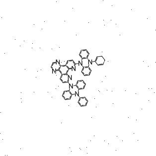 C1=CC(N2c3ccccc3N(c3ccc4c5nccnc5c5ccc(N6c7ccccc7N(c7ccccc7)c7ccccc76)nc5c4n3)c3ccccc32)=CCC1